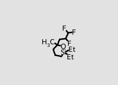 CC[Si]1(CC)CCCC(C)(CC(F)C(F)F)O1